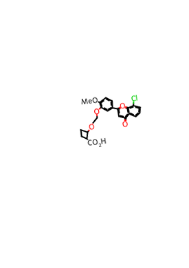 COc1ccc(-c2cc(=O)c3cccc(Cl)c3o2)cc1OCCOC1CCC1C(=O)O